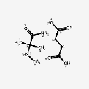 CNC(C)(C)C(N)=O.O=C(O)CCC(=O)O